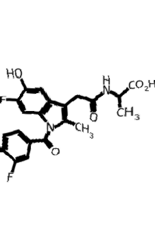 Cc1c(CC(=O)NC(C)C(=O)O)c2cc(O)c(F)cc2n1C(=O)c1cccc(F)c1